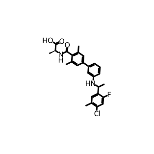 Cc1cc(C(C)Nc2cccc(-c3cc(C)c(C(=O)N[C@@H](C)C(=O)O)c(C)c3)c2)c(F)cc1Cl